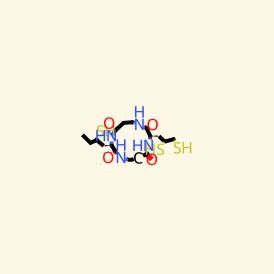 CCC(S)C[C@@H]1NC(=O)CCNC(=O)[C@H](CC(S)CS)NC(=O)CCNC1=O